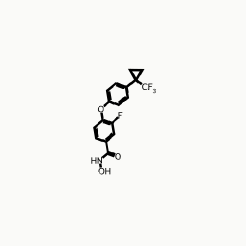 O=C(NO)c1ccc(Oc2ccc(C3(C(F)(F)F)CC3)cc2)c(F)c1